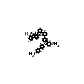 Cc1ccc(-c2ccc(-n3c4c(c5cc(-c6cccc(-c7ccccc7Nc7ccc8c(c7)C(C)(C)c7ccccc7-8)c6)ccc53)CC(C)C=C4)cc2)cc1